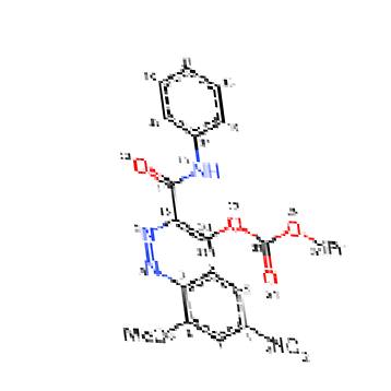 COc1cc([N+](=O)[O-])ccc1/N=N\C(C(=O)Nc1ccccc1)=C(/C)OC(=O)OC(C)C